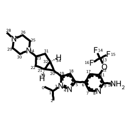 CC(C)n1nc(-c2cnc(N)c(OC(F)(F)F)c2)cc1C1[C@H]2CC(N3CCN(C)CC3)C[C@@H]12